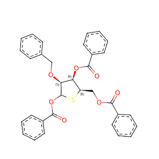 O=C(OC[C@H]1SC(OC(=O)c2ccccc2)[C@@H](OCc2ccccc2)[C@H]1OC(=O)c1ccccc1)c1ccccc1